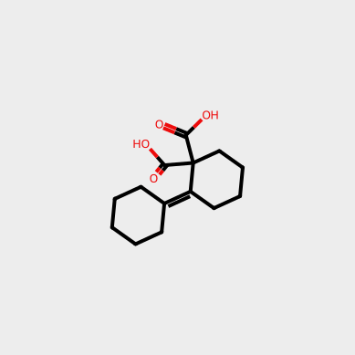 O=C(O)C1(C(=O)O)CCCCC1=C1CCCCC1